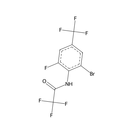 O=C(Nc1c(F)cc(C(F)(F)F)cc1Br)C(F)(F)F